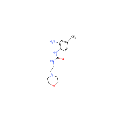 Nc1cc(C(F)(F)F)ccc1NC(=O)NCCN1CCOCC1